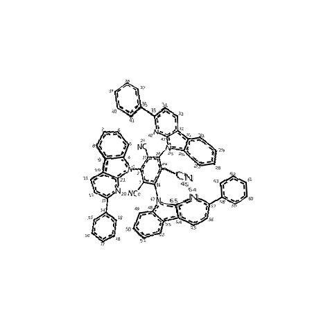 N#Cc1c(-n2c3ccccc3c3ccc(-c4ccccc4)nc32)c(C#N)c(-n2c3ccccc3c3ccc(-c4ccccc4)nc32)c(C#N)c1-n1c2ccccc2c2ccc(-c3ccccc3)nc21